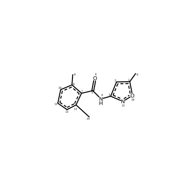 Cc1cc(NC(=O)c2c(C)cccc2C)no1